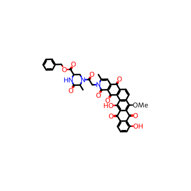 COc1c2ccc3c(=O)c4cc(C)n(CC(=O)N5CC(C(=O)OCc6ccccc6)NC(=O)C5C)c(=O)c4c(=O)c3c2c(O)c2c(=O)c3cccc(O)c3c(=O)c12